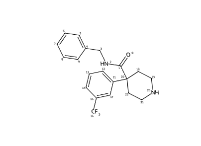 O=C(NCc1ccccc1)C1(c2cccc(C(F)(F)F)c2)CCNCC1